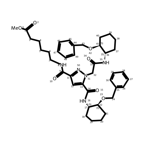 COC(=O)CCCCCNC(=O)c1cc(C(=O)N[C@H]2CCCC[C@@H]2OCc2ccccc2)n(CC(=O)N[C@H]2CCCC[C@@H]2OCc2ccccc2)n1